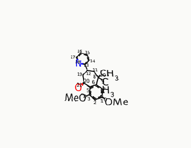 COc1cc(OC)c2c(c1)C(C)(C)CC(c1ccccn1)CC2=O